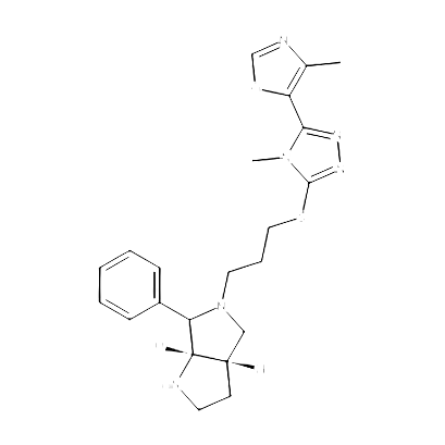 Cc1ncoc1-c1nnc(SCCCN2C[C@@H]3CCN[C@@H]3C2c2ccccc2)n1C